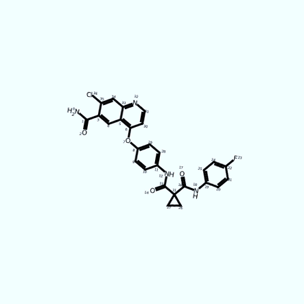 NC(=O)c1cc2c(Oc3ccc(NC(=O)C4(C(=O)Nc5ccc(F)cc5)CC4)cc3)ccnc2cc1Cl